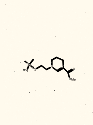 COC(=O)C1=CN(CCO[Si](C)(C)C(C)(C)C)CCC1